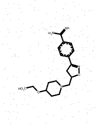 N=C(N)c1ccc(C2=NOC(CN3CCC(OCC(=O)O)CC3)C2)cc1